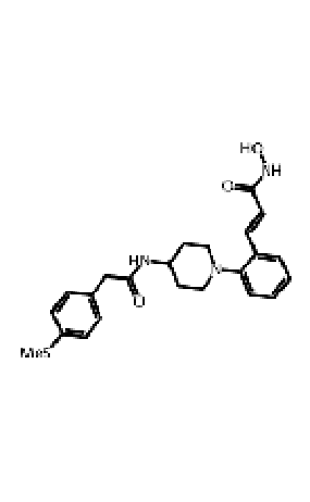 CSc1ccc(CC(=O)NC2CCN(c3ccccc3C=CC(=O)NO)CC2)cc1